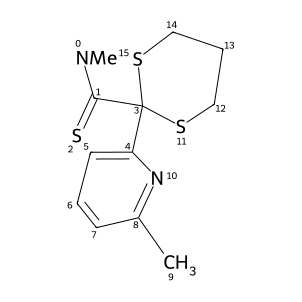 CNC(=S)C1(c2cccc(C)n2)SCCCS1